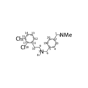 CNCc1ccc(CN(C)CCc2cccc(Cl)c2Cl)cc1